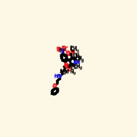 COC(=O)C1C(c2cc([N+](=O)[O-])ccc2OCCCCNCCCOc2ccccc2)C(C(=O)OC)C(C)(C)NC1(C)C